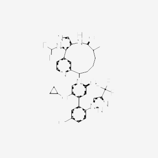 CC1CCCC(n2cc(OC3CC3)c(-c3cc(Cl)ccc3-n3cc(C(F)(F)F)nn3)cc2=O)c2cc(ccn2)-c2c(cnn2C(F)F)NC1=O